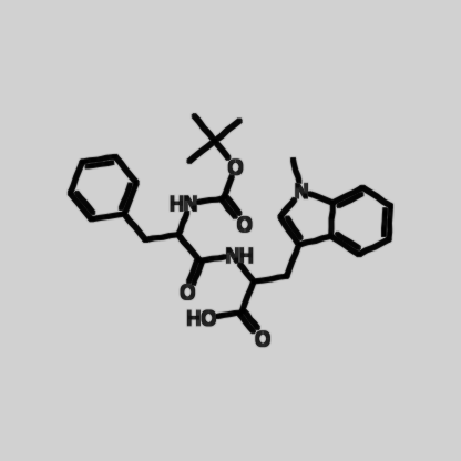 Cn1cc(CC(NC(=O)C(Cc2ccccc2)NC(=O)OC(C)(C)C)C(=O)O)c2ccccc21